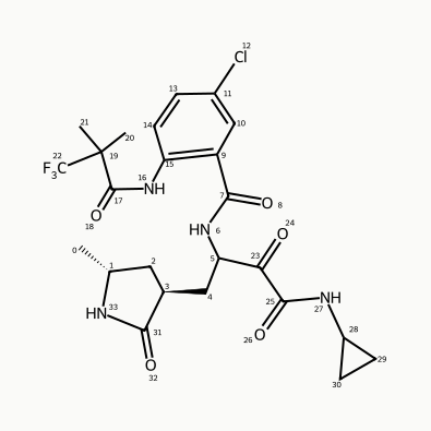 C[C@@H]1C[C@@H](CC(NC(=O)c2cc(Cl)ccc2NC(=O)C(C)(C)C(F)(F)F)C(=O)C(=O)NC2CC2)C(=O)N1